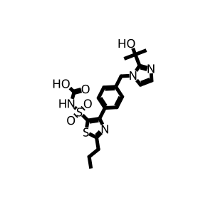 CCCc1nc(-c2ccc(Cn3ccnc3C(C)(C)O)cc2)c(S(=O)(=O)NC(=O)O)s1